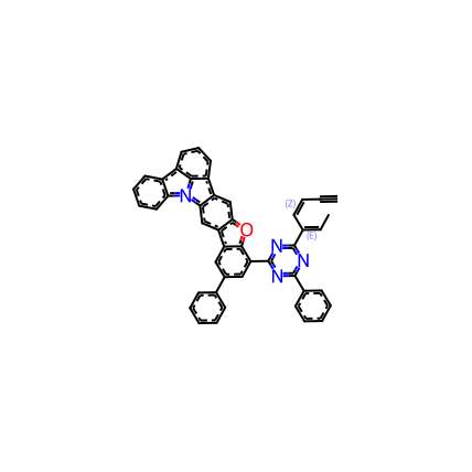 C#C/C=C\C(=C/C)c1nc(-c2ccccc2)nc(-c2cc(-c3ccccc3)cc3c2oc2cc4c5cccc6c7ccccc7n(c4cc23)c65)n1